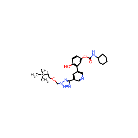 C[Si](C)(C)CCOCn1nnc(-c2cncc(-c3cc(OC(=O)NC4CCCCC4)ccc3O)c2)n1